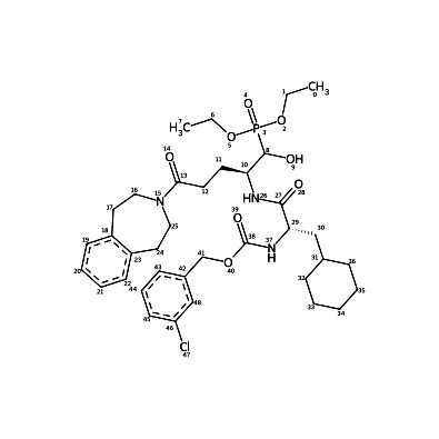 CCOP(=O)(OCC)C(O)[C@H](CCC(=O)N1CCc2ccccc2CC1)NC(=O)[C@H](CC1CCCCC1)NC(=O)OCc1cccc(Cl)c1